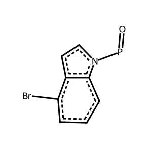 O=Pn1ccc2c(Br)cccc21